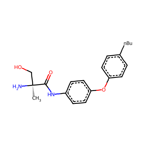 CCCCc1ccc(Oc2ccc(NC(=O)[C@@](C)(N)CO)cc2)cc1